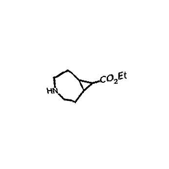 CCOC(=O)C1C2CCNCCC21